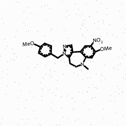 COc1ccc(Cn2ncc3c2CCN(C)c2cc(OC)c([N+](=O)[O-])cc2-3)cc1